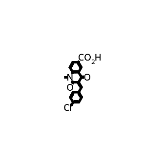 CN1C(=O)/C(=C\c2ccc(Cl)cc2)C(=O)c2cc(C(=O)O)ccc21